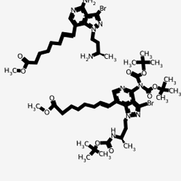 COC(=O)CCCCC/C=C/c1cnc(N(C(=O)OC(C)(C)C)C(=O)OC(C)(C)C)c2c(Br)nn(CC[C@@H](C)NC(=O)OC(C)(C)C)c12.COC(=O)CCCCC/C=C/c1cnc(N)c2c(Br)nn(CC[C@@H](C)N)c12